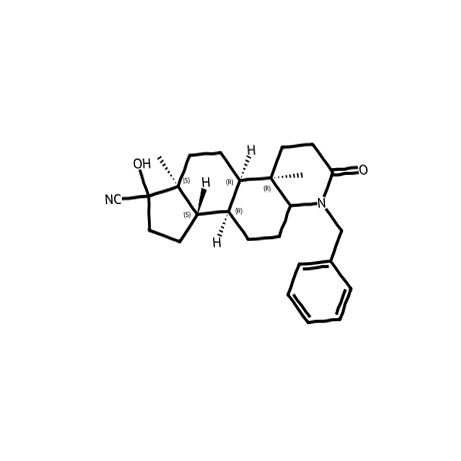 C[C@]12CCC(=O)N(Cc3ccccc3)C1CC[C@@H]1[C@H]2CC[C@@]2(C)[C@H]1CCC2(O)C#N